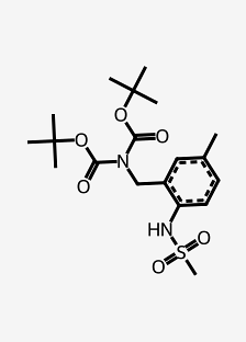 Cc1ccc(NS(C)(=O)=O)c(CN(C(=O)OC(C)(C)C)C(=O)OC(C)(C)C)c1